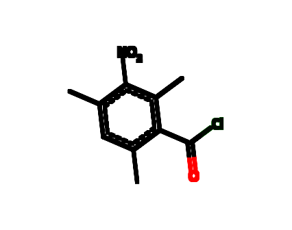 Cc1cc(C)c([N+](=O)[O-])c(C)c1C(=O)Cl